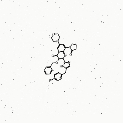 O=C1CCCN1c1cc(N2CCOCC2)cn2c(=O)c(OCc3ccccc3)c(-c3ncc(Cc4ccc(F)cc4)[nH]3)nc12